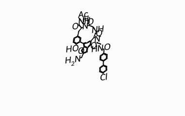 CC(=O)CNC(=O)C1Cc2ccc(O)c(c2)-c2cc(cc3cc(CN)oc23)C(N(C)C(=O)CNC(=O)c2ccc(-c3ccc(Cl)cc3)cc2)C(=O)NCC(=O)N1